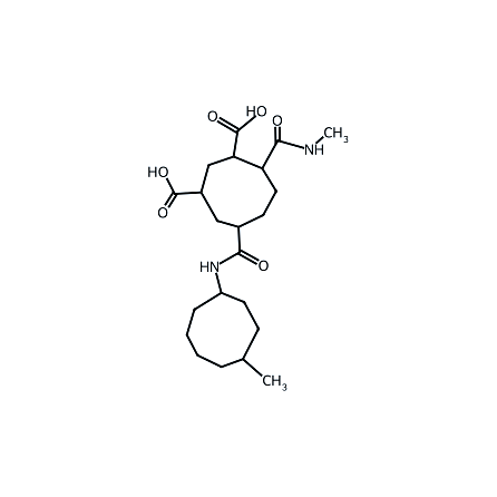 CNC(=O)C1CCC(C(=O)NC2CCCCC(C)CC2)CC(C(=O)O)CC1C(=O)O